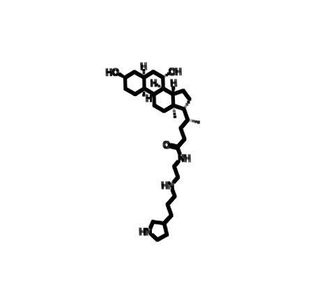 C[C@H](CCC(=O)NCCNCCCC1CCNC1)[C@H]1CC[C@H]2[C@@H]3[C@@H](O)C[C@@H]4C[C@H](O)CC[C@]4(C)[C@H]3CC[C@]12C